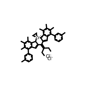 CCCCC1=Cc2c(-c3cccc(C)c3)c(C)c(C)c(C)c2[CH]1[Zr+2]1([CH]2C(CCCC)=Cc3c(-c4cccc(C)c4)c(C)c(C)c(C)c32)[CH2][CH2]1.[Cl-].[Cl-]